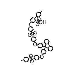 Cc1ccc(-c2ccc(Cc3ccc(S(=O)(=O)c4ccc(Oc5ccc(C6(c7ccc(Oc8ccc(S(=O)(=O)c9ccc(C)cc9)cc8)cc7)c7ccccc7-c7ccccc76)cc5)cc4)cc3)cc2S(=O)(=O)O)cc1